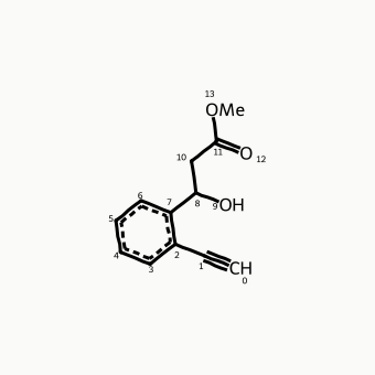 C#Cc1ccccc1C(O)CC(=O)OC